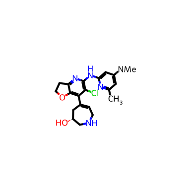 CNc1cc(C)nc(Nc2nc3c(c(C4=CCNC[C@H](O)C4)c2Cl)OCC3)c1